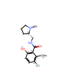 CCN1CCC[C@H]1CNC(=O)c1c(O)ccc(Cl)c1OC